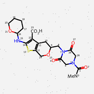 CNC(=O)N1CC(=O)N(CC2Cc3c(sc(NC4CCCCO4)c3C(=O)O)CO2)C(=O)C1